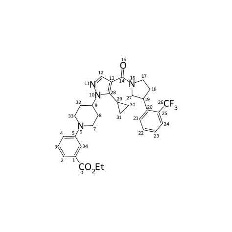 CCOC(=O)c1cccc(N2CCC(n3ncc(C(=O)N4CCC(c5ccccc5C(F)(F)F)C4)c3C3CC3)CC2)c1